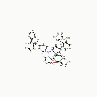 c1ccc2c(c1)cc(-c1ccc(N(c3ccc(-c4cccc5sc6ccccc6c45)cc3)c3cccc4oc5c6ccccc6ccc5c34)cc1)c1ccccc12